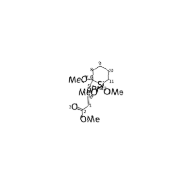 C=CC(=O)OC.CCCC1(OC)CCCC[Si]1(OC)OC